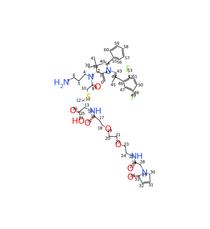 C=C([C@H](N(CCCN)C(=O)CSC[C@H](NC(=O)CCOCCOCCNC(=O)CN1CC=CC1=O)C(=O)O)C(C)(C)C)N(/C=C(\C)c1cc(F)ccc1F)Cc1ccccc1